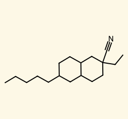 CCCCCC1CCC2CC(C#N)(CC)CCC2C1